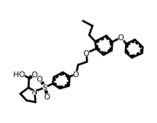 CCCc1cc(Oc2ccccc2)ccc1OCCOc1ccc(S(=O)(=O)N2CCCC2C(=O)O)cc1